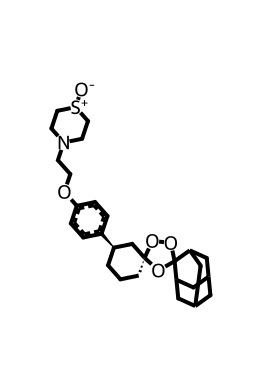 [O-][S+]1CCN(CCOc2ccc([C@@H]3CCC[C@]4(C3)OOC3(O4)C4CC5CC(C4)CC3C5)cc2)CC1